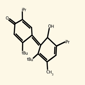 CC1=C(C(C)(C)C)C(=C2C=C(C(C)C)C(=O)C=C2C(C)(C)C)C(O)C(C(C)C)=C1